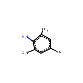 Cc1cc(C#N)cc([N+](=O)[O-])c1N